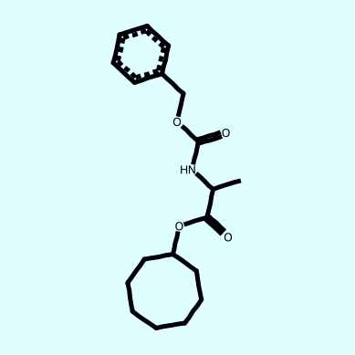 CC(NC(=O)OCc1ccccc1)C(=O)OC1CCCCCCC1